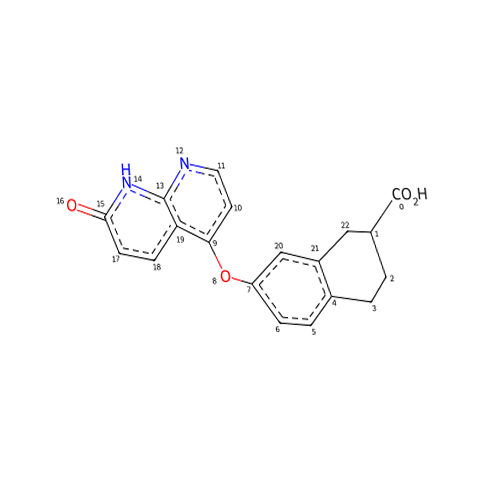 O=C(O)C1CCc2ccc(Oc3ccnc4[nH]c(=O)ccc34)cc2C1